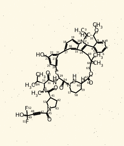 CCn1c(-c2cccnc2[C@H](C)OC)c2c3cc(ccc31)-c1cc(O)cc(c1)C[C@H](NC(=O)[C@H](C(C)C)N(C)C(=O)[C@H]1CCN(C(=O)C#CC(O)(F)F)C1)C(=O)N1CCC[C@H](N1)C(=O)OCC(C)(C)C2